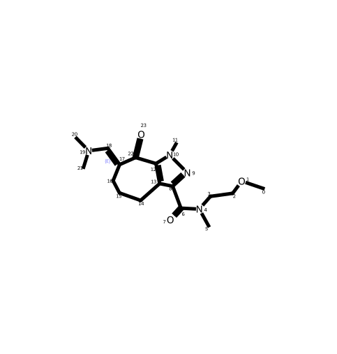 COCCN(C)C(=O)c1nn(C)c2c1CCC/C(=C\N(C)C)C2=O